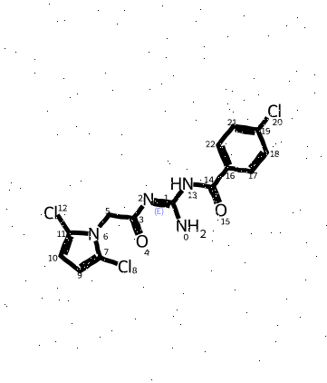 N/C(=N\C(=O)Cn1c(Cl)ccc1Cl)NC(=O)c1ccc(Cl)cc1